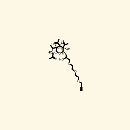 C#CCOCCOCCOCC(O)O[C@H]1O[C@H](C(O)C(C)=O)[C@](O)(C(C)=O)[C@@](O)(C(C)=O)[C@@]1(O)C(C)=O